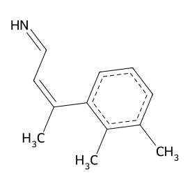 C/C(=C/C=N)c1cccc(C)c1C